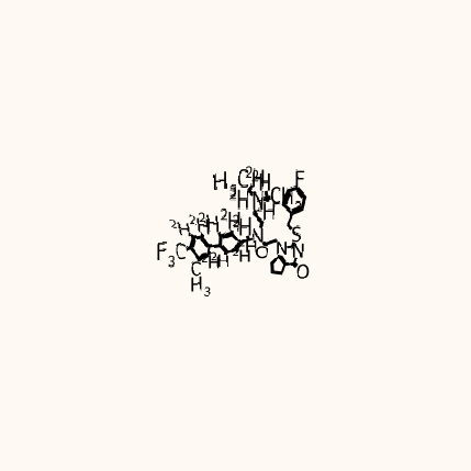 [2H]c1c([2H])c(C([2H])([2H])N(CCN(C([2H])([2H])C)C([2H])([2H])C)C(=O)Cn2c(SCc3ccc(F)cc3)nc(=O)c3c2CCC3)c([2H])c([2H])c1-c1c([2H])c([2H])c(C(F)(F)F)c(C)c1[2H]